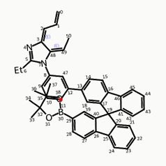 C=C/C=c1/nc(CC)n(-c2cccc(-c3ccc4c(c3)C3(c5ccccc5-c5ccc(B6OC(C)(C)C(C)(C)O6)cc53)c3ccccc3-4)c2)/c1=C/C